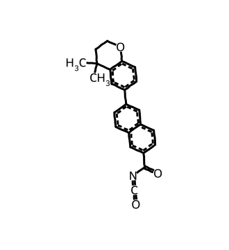 CC1(C)CCOc2ccc(-c3ccc4cc(C(=O)N=C=O)ccc4c3)cc21